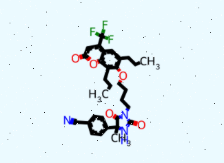 CCCc1cc2c(C(F)(F)F)cc(=O)oc2c(CCC)c1OCCCCN1C(=O)NC(C)(c2ccc(C#N)cc2)C1=O